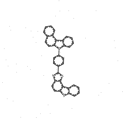 c1ccc2c(c1)ccc1c2c2ccccc2n1-c1ccc(-c2nc3ccc4sc5ccccc5c4c3s2)cc1